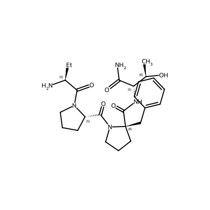 CC[C@H](N)C(=O)N1CCC[C@H]1C(=O)N1CCC[C@@]1(Cc1ccccc1)C(=O)N[C@H](C(N)=O)[C@@H](C)O